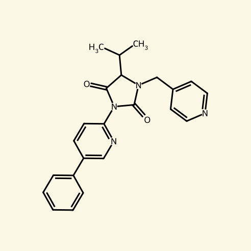 CC(C)C1C(=O)N(c2ccc(-c3ccccc3)cn2)C(=O)N1Cc1ccncc1